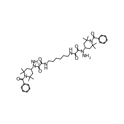 CC1(C)CC(N(N)C(=O)C(=O)NCCCCCCNC(=O)C(=O)N(N)C2CC(C)(C)N(C(=O)c3ccccc3)C(C)(C)C2)CC(C)(C)N1C(=O)c1ccccc1